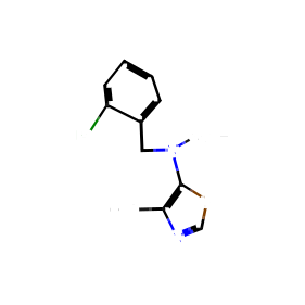 O=C(O)c1ncsc1N(Cc1ccccc1Br)S(=O)(=O)O